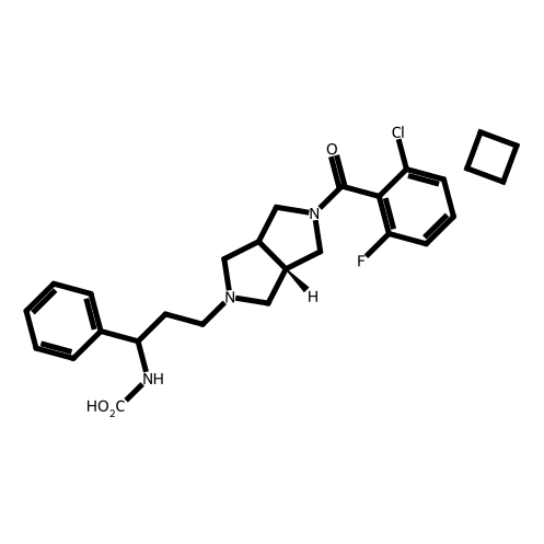 C1CCC1.O=C(O)NC(CCN1CC2CN(C(=O)c3c(F)cccc3Cl)C[C@@H]2C1)c1ccccc1